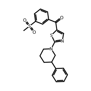 CS(=O)(=O)c1cccc(C(=O)c2cnc(N3CCCC(c4ccccc4)C3)s2)c1